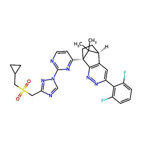 CC1(C)[C@H]2CC[C@]1(c1ccnc(-n3cnc(CS(=O)(=O)CC4CC4)n3)n1)c1nnc(-c3c(F)cccc3F)cc12